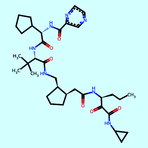 CCC[C@H](NC(=O)C[C@H]1CCC[C@H]1CNC(=O)[C@@H](NC(=O)[C@@H](NC(=O)c1cnccn1)C1CCCC1)C(C)(C)C)C(=O)C(=O)NC1CC1